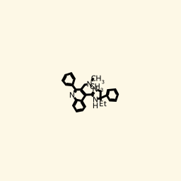 CCC1(c2ccccc2)CN=C(c2c(CN(C)C)c(-c3ccccc3)nc3ccccc23)N1